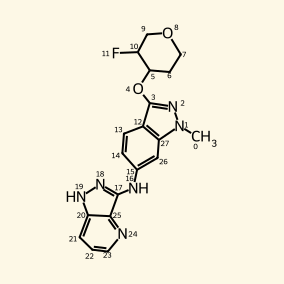 Cn1nc(OC2CCOCC2F)c2ccc(Nc3n[nH]c4cccnc34)cc21